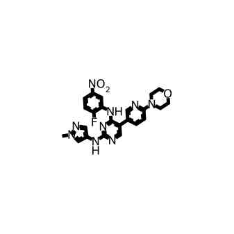 Cn1cc(Nc2ncc(-c3ccc(N4CCOCC4)nc3)c(Nc3cc([N+](=O)[O-])ccc3F)n2)cn1